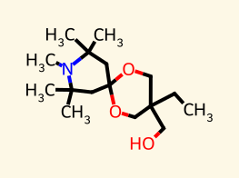 CCC1(CO)COC2(CC(C)(C)N(C)C(C)(C)C2)OC1